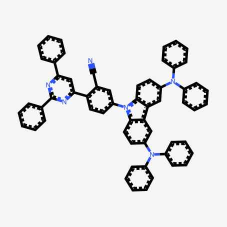 N#Cc1cc(-n2c3ccc(N(c4ccccc4)c4ccccc4)cc3c3cc(N(c4ccccc4)c4ccccc4)ccc32)ccc1-c1cc(-c2ccccc2)nc(-c2ccccc2)n1